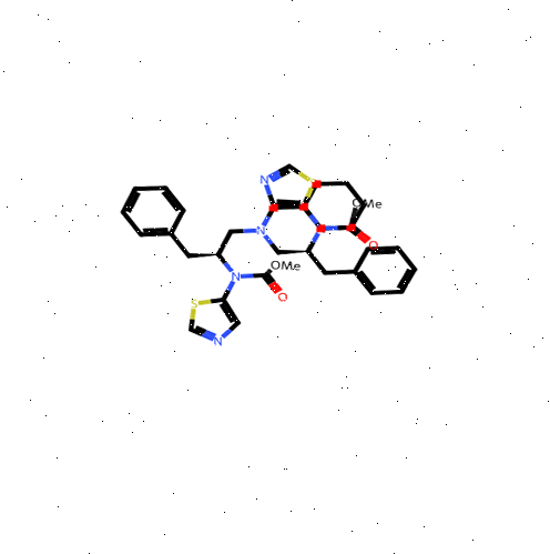 COC(=O)N(c1cncs1)[C@@H](Cc1ccccc1)CN(CC1CCCCC1)C[C@H](Cc1ccccc1)N(C(=O)OC)c1cncs1